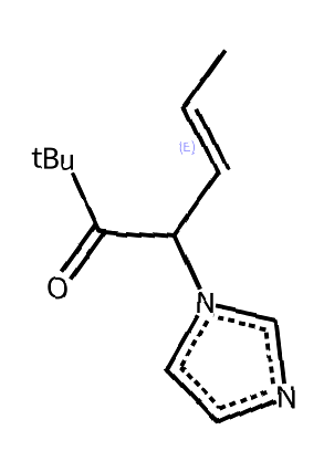 C/C=C/C(C(=O)C(C)(C)C)n1ccnc1